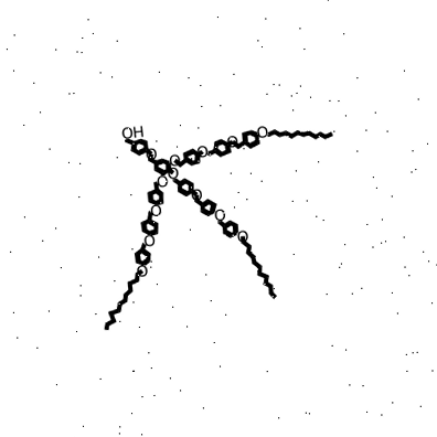 CCCCCCCCCCCCOc1ccc(COc2ccc(COc3ccc(COc4cc(COc5ccc(CO)cc5)cc(OCc5ccc(OCc6ccc(OCc7ccc(OCCCCCCCCCCCC)cc7)cc6)cc5)c4OCc4ccc(OCc5ccc(OCc6ccc(OCCCCCCCCCCCC)cc6)cc5)cc4)cc3)cc2)cc1